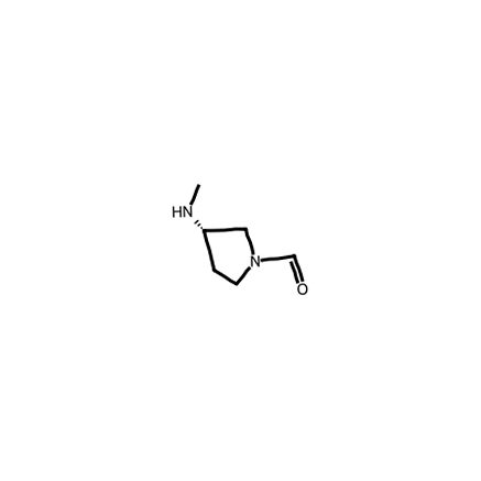 CN[C@H]1CCN(C=O)C1